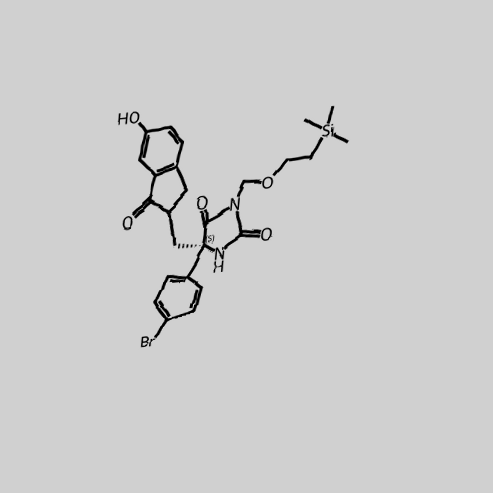 C[Si](C)(C)CCOCN1C(=O)N[C@@](CC2Cc3ccc(O)cc3C2=O)(c2ccc(Br)cc2)C1=O